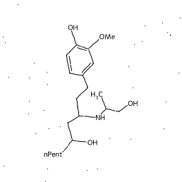 CCCCCC(O)CC(CCc1ccc(O)c(OC)c1)NC(C)CO